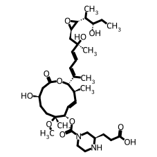 CC[C@H](O)C(C)[C@H]1O[C@@H]1C[C@@](C)(O)/C=C/C=C(\C)[C@H]1OC(=O)C[C@H](O)CC[C@@](C)(OC)[C@@H](OC(=O)N2CCN[C@H](CCC(=O)O)C2)/C=C/[C@@H]1C